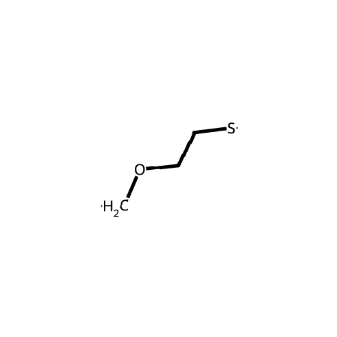 [CH2]OCC[S]